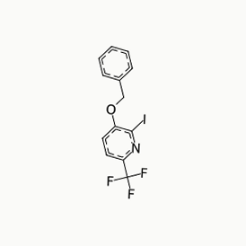 FC(F)(F)c1ccc(OCc2ccccc2)c(I)n1